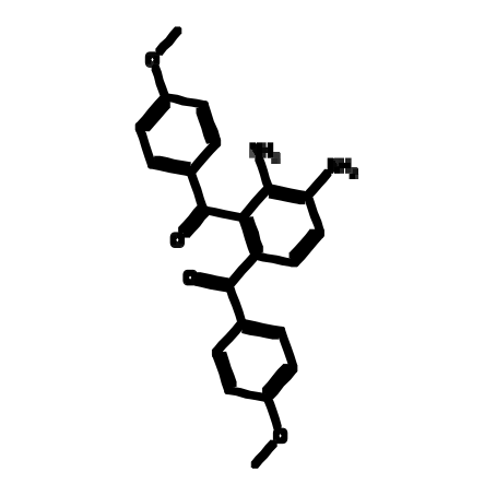 COc1ccc(C(=O)c2ccc(N)c(N)c2C(=O)c2ccc(OC)cc2)cc1